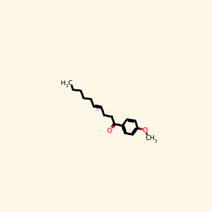 CCCCC/C=C/CCC(=O)c1ccc(OC)cc1